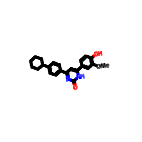 COc1cc(-c2cc(-c3ccc(C4CCCCC4)cc3)nc(=O)[nH]2)ccc1O